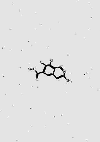 COC(=O)c1cc2cc(N)ncc2c(Cl)c1F